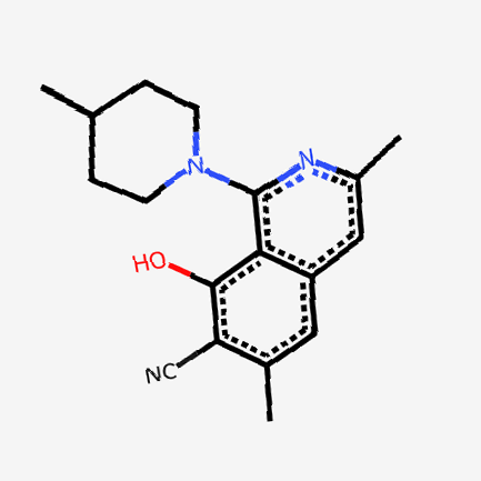 Cc1cc2cc(C)c(C#N)c(O)c2c(N2CCC(C)CC2)n1